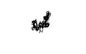 Cc1csc(CNC(=O)c2cccc(C(=O)N[C@@H](Cc3ccccc3)[C@H](O)CNCc3ccc(CS(C)(=O)=O)c(C)n3)c2)n1